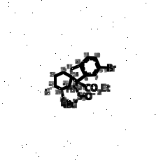 CCOC(=O)[C@]1(N[S@@+]([O-])C(C)(C)C)c2cc(Br)ccc2C[C@]12CC[C@@H](C)[C@H](CC)C2